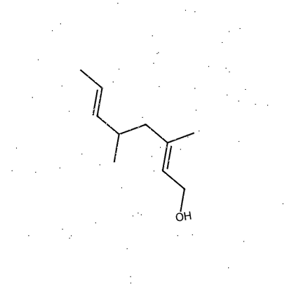 CC=CC(C)CC(C)=CCO